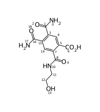 NC(=O)c1cc(C(=O)O)c(C(=O)NCCO)cc1C(N)=O